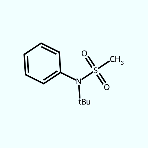 [CH2]C(C)(C)N(c1ccccc1)S(C)(=O)=O